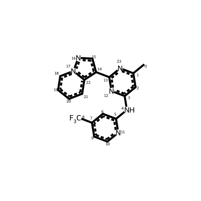 Cc1cc(Nc2cc(C(F)(F)F)ccn2)nc(-c2cnn3ccccc23)n1